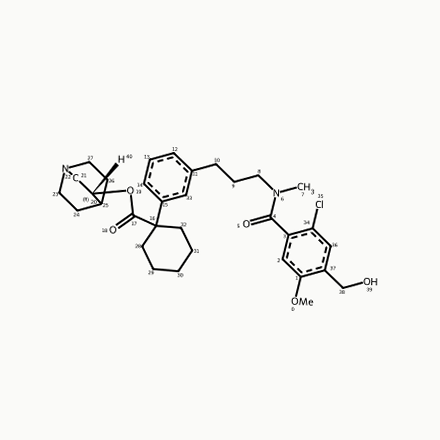 COc1cc(C(=O)N(C)CCCc2cccc(C3(C(=O)O[C@H]4CN5CCC4CC5)CCCCC3)c2)c(Cl)cc1CO